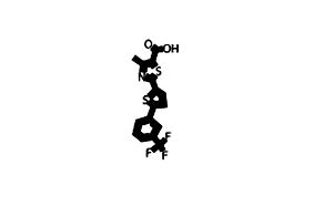 Cc1nc(-c2ccc(-c3cccc(C(F)(F)F)c3)s2)sc1C(=O)O